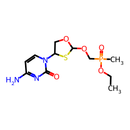 CCOP(C)(=O)COC1OCC(n2ccc(N)nc2=O)S1